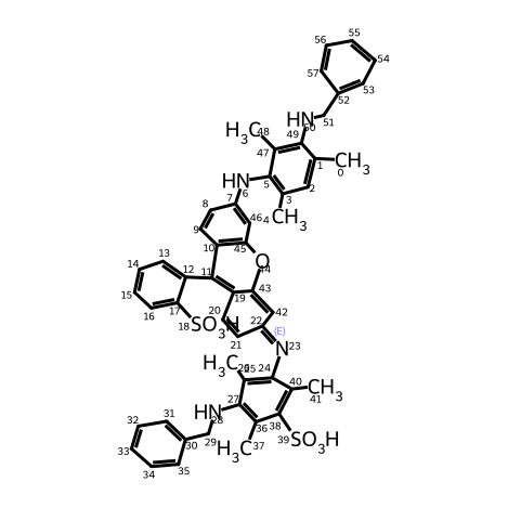 Cc1cc(C)c(Nc2ccc3c(-c4ccccc4S(=O)(=O)O)c4cc/c(=N\c5c(C)c(NCc6ccccc6)c(C)c(S(=O)(=O)O)c5C)cc-4oc3c2)c(C)c1NCc1ccccc1